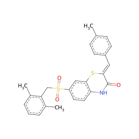 Cc1ccc(C=C2Sc3cc(S(=O)(=O)Cc4c(C)cccc4C)ccc3NC2=O)cc1